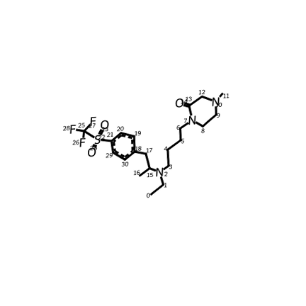 CCN(CCCCN1CCN(C)CC1=O)C(C)Cc1ccc(S(=O)(=O)C(F)(F)F)cc1